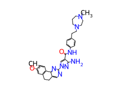 COc1ccc2c(c1)CCc1cnc(-n3cc(C(=O)Nc4ccc(CCN5CCCN(C)CC5)cc4)c(N)n3)nc1-2